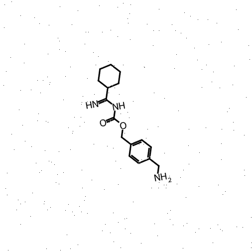 N=C(NC(=O)OCc1ccc(CN)cc1)C1CCCCC1